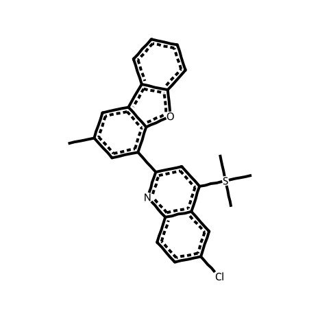 Cc1cc(-c2cc(S(C)(C)C)c3cc(Cl)ccc3n2)c2oc3ccccc3c2c1